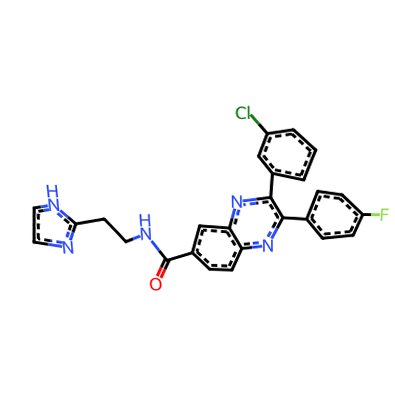 O=C(NCCc1ncc[nH]1)c1ccc2nc(-c3ccc(F)cc3)c(-c3cccc(Cl)c3)nc2c1